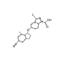 Cc1cc(C#N)cc2c1C(Oc1ccc3c(c1)c(I)nn3C(=O)O)CC2